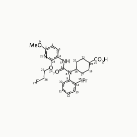 COc1ccc(NC(=O)N(c2ccccc2C(C)C)C2CCC(C(=O)O)CC2)c(OCCF)n1